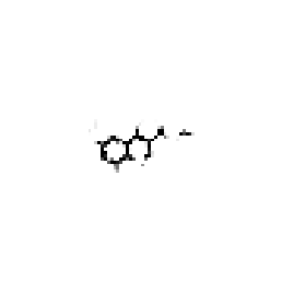 CCOC(=O)c1cnc2c(C)cc(OC)cc2c1Br